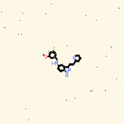 COc1cc(F)cc(CNc2ccc3[nH]nc(/C=C/c4ccccn4)c3c2)c1